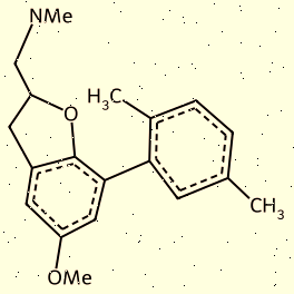 CNCC1Cc2cc(OC)cc(-c3cc(C)ccc3C)c2O1